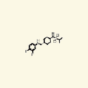 CC(C)S(=O)(=O)N[C@H]1CC[C@H](CNc2ccc(F)c(F)c2)CC1